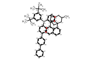 CC1CC2CC3CC(c4cccc5cccc(-c6ccccc6N(c6ccc(-c7ccc(-c8ccccc8)cc7)cc6)c6cc(C(C)(C)C)cc(C(C)(C)C)c6)c45)(C1)C23